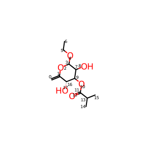 C=C1OC(OCC)C(O)C(OC(=O)C(C)C)[C@@H]1O